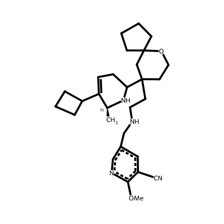 COc1ncc(CNCCC2(C3CC=C(C4CCC4)[C@H](C)N3)CCOC3(CCCC3)C2)cc1C#N